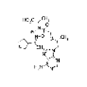 C/C(=N\OP(=O)(CO[C@H](C)Cn1cnc2c(N)ncnc21)N(C(C)C)[C@@H](C)C(=O)O)C1CCCC1